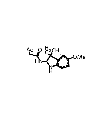 COc1ccc2c(c1)C(C)(C)C(NC(=O)CC(C)=O)N2